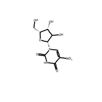 O=c1[nH]c(=O)n([C@@H]2O[C@H](CO)[C@H](O)C2O)cc1[N+](=O)[O-]